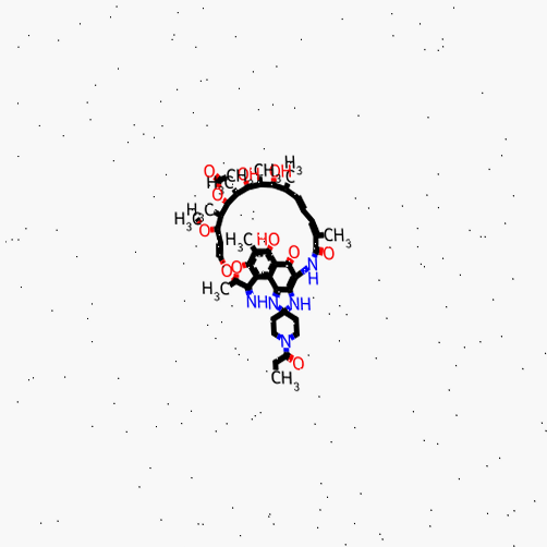 CCC(=O)N1CCC2(CC1)N=C1C(=C3NC(=O)/C(C)=C\C=C\C(C)C(O)C(C)C(O)C(C)C(OC(C)=O)C(C)C(OC)/C=C/OC4(C)Oc5c(C)c(O)c(c1c5C4=N)C3=O)N2